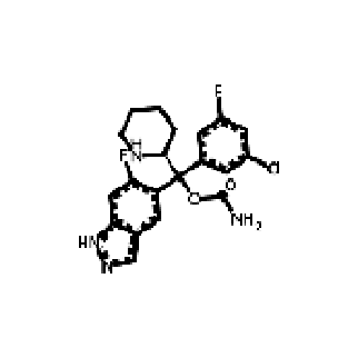 NC(=O)OC(c1cc(F)cc(Cl)c1)(c1cc2cn[nH]c2cc1F)[C@@H]1CCCCN1